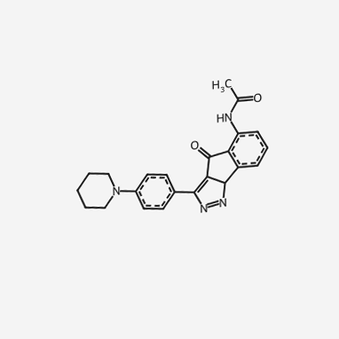 CC(=O)Nc1cccc2c1C(=O)C1=C(c3ccc(N4CCCCC4)cc3)N=NC12